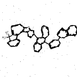 CC1(C)c2ccccc2-c2c1ccc1sc3cc(-c4c5ccccc5c(-c5cccc(-c6ccc7ccccc7c6)c5)c5ccccc45)ccc3c21